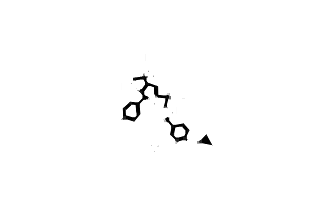 COc1cc(C(=O)NCC(O)(c2cc3c(c(-c4ccc(F)cc4)n2)NC[C@@]3(C)N)C(F)(F)F)ccc1OC1CC1